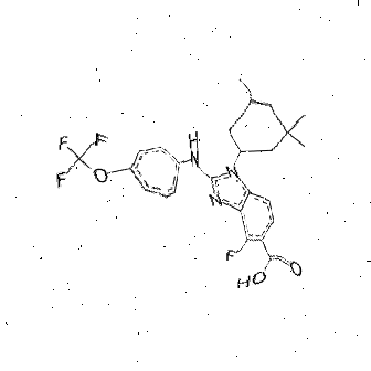 CC1CC(n2c(Nc3ccc(OC(F)(F)F)cc3)nc3c(F)c(C(=O)O)ccc32)CC(C)(C)C1